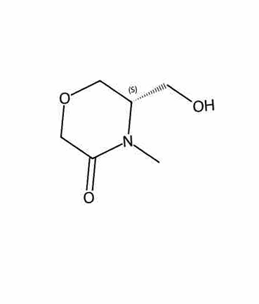 CN1C(=O)COC[C@@H]1CO